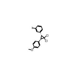 COc1ccc([C@H]2[C@H](c3cccc(I)c3)C2(Cl)Cl)cc1